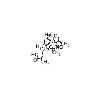 C=C(CC)C(=O)ON(C)C.C=C(CCCC)C(=O)O.C=Cc1ccccc1.Cl